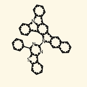 c1ccc(-c2nc(-n3c4cc5ccccc5cc4c4cc5c6ccccc6n6c7ccccc7c(c43)c56)nc3c2sc2ccccc23)cc1